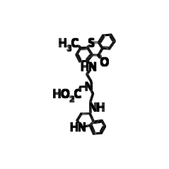 Cc1ccc(NCCN(CCNC2CCNc3ccccc32)CC(=O)O)c2c(=O)c3ccccc3sc12